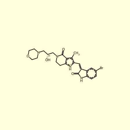 Cc1c(C=C2C(=O)Nc3ccc(Br)cc32)[nH]c2c1C(=O)N(C[C@H](O)CN1CCOCC1)CC2